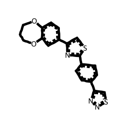 c1cc(-c2nc(-c3ccc4c(c3)OCCCO4)cs2)ccc1-c1csnn1